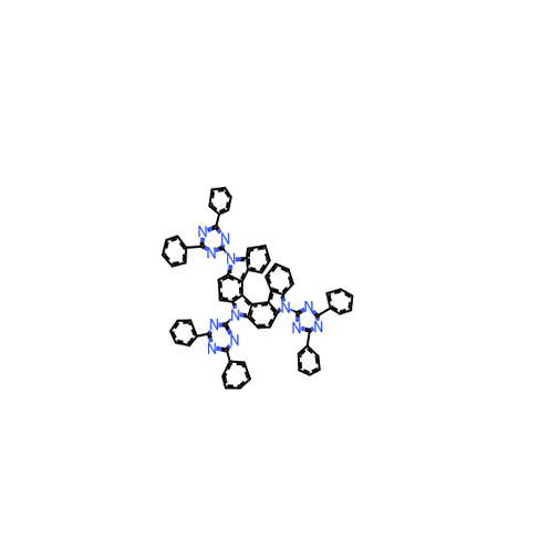 c1ccc(-c2nc(-c3ccccc3)nc(-n3c4ccccc4c4c5c6c7c8ccccc8n(-c8nc(-c9ccccc9)nc(-c9ccccc9)n8)c7ccc6n(-c6nc(-c7ccccc7)nc(-c7ccccc7)n6)c5ccc43)n2)cc1